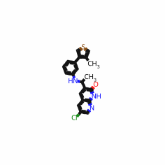 Cc1cscc1-c1cccc(NC(C)c2cc3cc(Cl)cnc3[nH]c2=O)c1